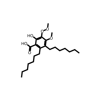 CCCCCCCc1c(CCCCCCC)c(C(=O)O)c(O)c(OOC)c1OC